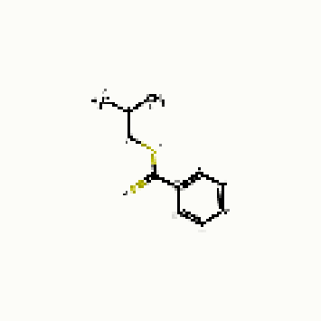 CC(C)CSC(=S)c1ccccc1